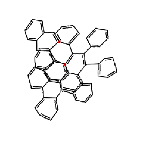 c1ccc(-c2c(-c3ccccc3)c(-c3ccccc3)c3c(-c4ccccc4-c4ccccc4N(c4ccccc4)c4ccc(-c5ccc6ccccc6c5)cc4)cccc3c2-c2ccccc2)cc1